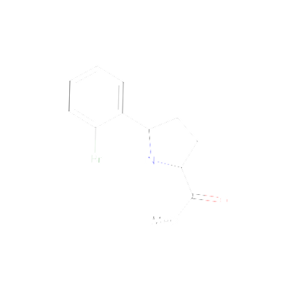 COC(=O)C1CCC(c2ccccc2Br)N1